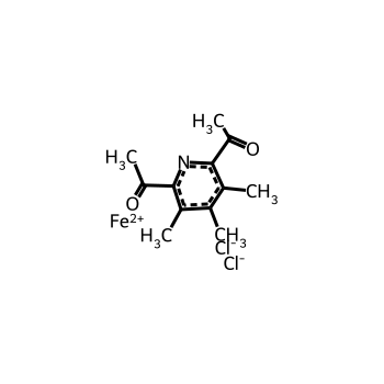 CC(=O)c1nc(C(C)=O)c(C)c(C)c1C.[Cl-].[Cl-].[Fe+2]